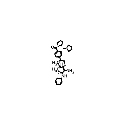 C=C(C)C(/N=C\C(=C)c1ccc(C(=O)N2CCC[C@@H]2CN2CCCC2)cc1)=C(/N)C(=O)Nc1ccccc1